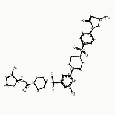 N[C@@H]1CC(=O)N(c2ccc(S(=O)(=O)N3CCN(c4cc(C(F)(F)[C@H]5CC[C@H](C(=O)NC6CNCC6O)CC5)cc(Cl)n4)CC3)cc2)C1